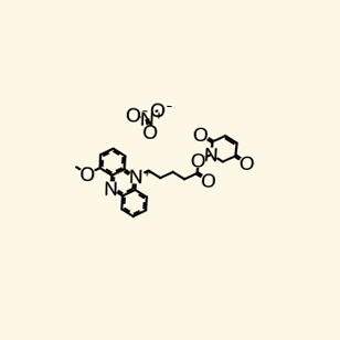 COc1cccc2c1nc1ccccc1[n+]2CCCCC(=O)ON1CC(=O)C=CC1=O.O=[N+]([O-])[O-]